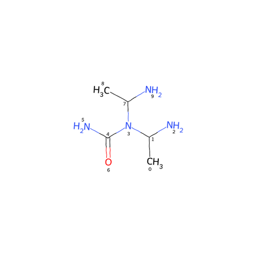 CC(N)N(C(N)=O)C(C)N